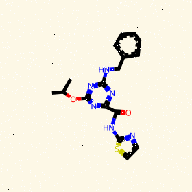 CC(C)Oc1nc(NCc2ccccc2)nc(C(=O)Nc2nccs2)n1